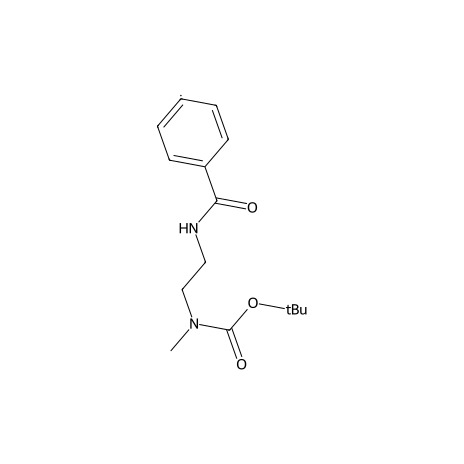 CN(CCNC(=O)c1cc[c]cc1)C(=O)OC(C)(C)C